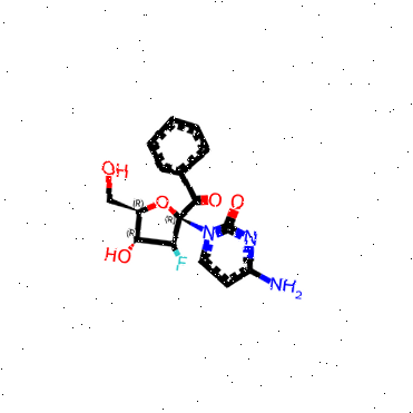 Nc1ccn([C@]2(C(=O)c3ccccc3)O[C@H](CO)[C@@H](O)C2F)c(=O)n1